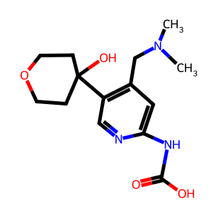 CN(C)Cc1cc(NC(=O)O)ncc1C1(O)CCOCC1